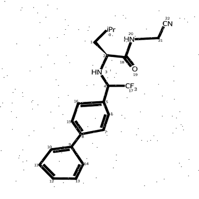 CC(C)C[C@H](NC(c1ccc(-c2ccccc2)cc1)C(F)(F)F)C(=O)NCC#N